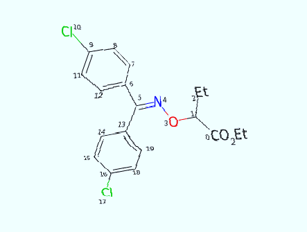 CCOC(=O)C(CC)ON=C(c1ccc(Cl)cc1)c1ccc(Cl)cc1